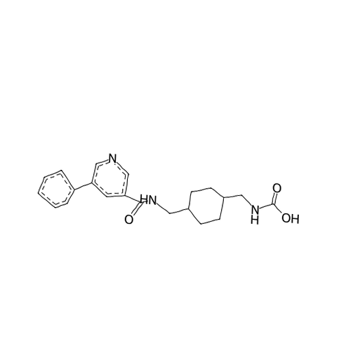 O=C(O)NCC1CCC(CNC(=O)c2cncc(-c3ccccc3)c2)CC1